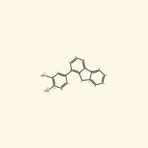 CCCc1cc(-c2cccc3c2Cc2ccccc2-3)ccc1O